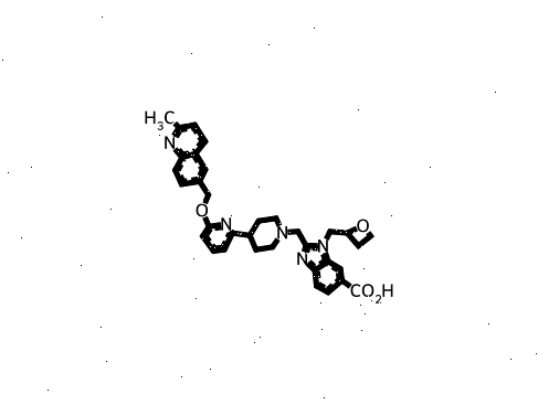 Cc1ccc2cc(COc3cccc(C4CCN(Cc5nc6ccc(C(=O)O)cc6n5CC5CCO5)CC4)n3)ccc2n1